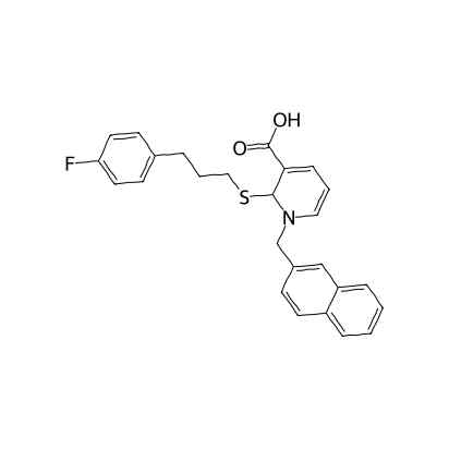 O=C(O)C1=CC=CN(Cc2ccc3ccccc3c2)C1SCCCc1ccc(F)cc1